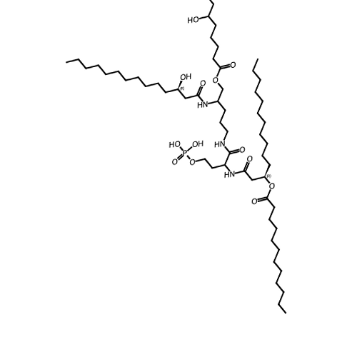 CCCCCCCCCCCC(=O)O[C@H](CCCCCCCCCCC)CC(=O)NC(CCOP(=O)(O)O)C(=O)NCCCC(COC(=O)CCCCC(O)CO)NC(=O)C[C@H](O)CCCCCCCCCCC